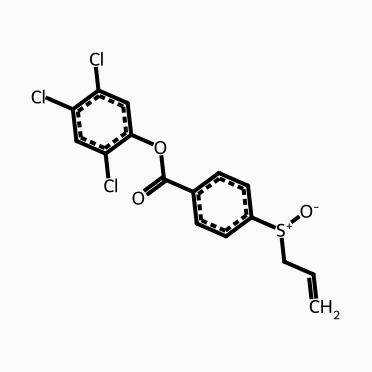 C=CC[S+]([O-])c1ccc(C(=O)Oc2cc(Cl)c(Cl)cc2Cl)cc1